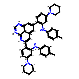 Cc1ccc(Nc2cc(N3CCCCC3)ccc2C2=CC3=NC=NC4=NC(c5ccc(N6CCCCC6)cc5Nc5ccc(C)cc5)=CC(=C2)C34)cc1